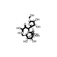 O=C(O)C(=O)C(OP(=O)(O)O)[C@@]1(O[C@H]2O[C@H](CO)[C@@H](O)[C@H](O)[C@H]2O)O[C@H](CO)[C@@H](O)[C@@H]1O